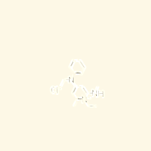 CCN(c1ccccc1)c1cc(C)[n+](CC)c(NC)c1.[Cl-]